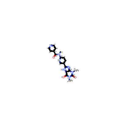 CCCn1c(=O)c2[nH]c(-c3ccc(N(C)C(=O)c4ccncc4)nc3)nc2n(CCC)c1=O